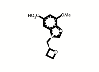 COc1cc(C(=O)O)cc2c1ncn2C[C@@H]1CCO1